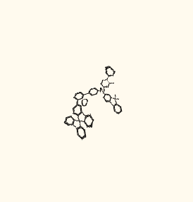 CC1C=C(N(c2ccc(-c3cccc4c3oc3c5c(ccc34)C3(c4ccccc4-c4ccccc43)c3ccccc3-5)cc2)c2ccc3c(c2)C(C)(C)c2ccccc2-3)C=CC1c1ccccc1